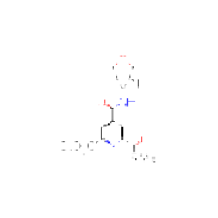 CCOC(=O)c1cc(C(=O)NC2C3COC[C@@H]32)cc(C(=O)NC)n1